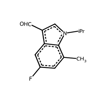 Cc1cc(F)cc2c(C=O)cn(C(C)C)c12